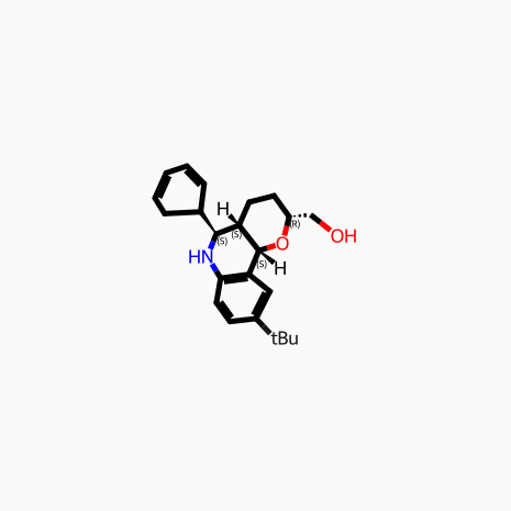 CC(C)(C)c1ccc2c(c1)[C@H]1O[C@@H](CO)CC[C@H]1[C@H](C1C=CC=CC1)N2